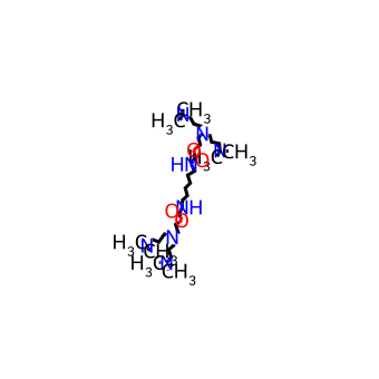 CN(C)CCCN(CCCN(C)C)CCOC(=O)NCCCCCCNC(=O)OCCN(CCCN(C)C)CCCN(C)C